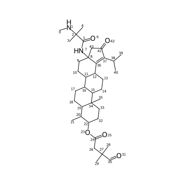 CNC(C)(C)C(=O)NC12CCC3C(CCC4C3CCC3C(C)C(OC(=O)CC(C)(C)C=O)CCC34C)C1=C(C(C)C)C(=O)C2